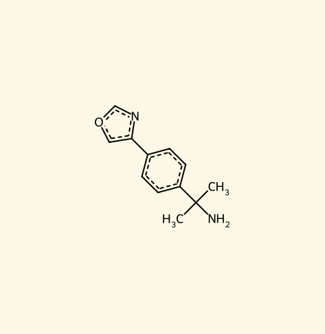 CC(C)(N)c1ccc(-c2cocn2)cc1